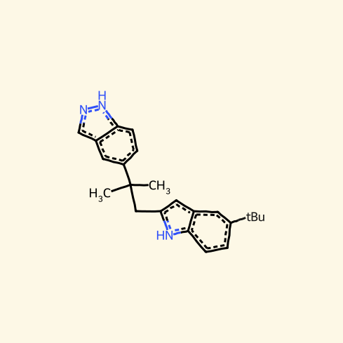 CC(C)(C)c1ccc2[nH]c(CC(C)(C)c3ccc4[nH]ncc4c3)cc2c1